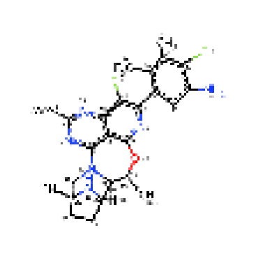 CSc1nc2c3c(nc(-c4cc(N)c(F)c(C)c4C(F)(F)F)c(F)c3n1)O[C@@H](C)[C@@H]1[C@@H]3CC[C@H](CN21)N3